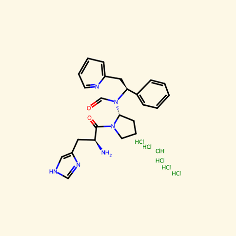 Cl.Cl.Cl.Cl.Cl.Cl.N[C@@H](Cc1c[nH]cn1)C(=O)N1CCC[C@H]1N(C=O)[C@@H](Cc1ccccn1)c1ccccc1